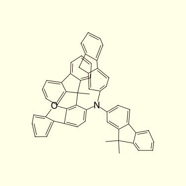 CC1(C)c2ccccc2-c2ccc(N(c3ccc4c(c3)Cc3ccccc3-4)c3ccc4c(oc5ccccc54)c3C3(C)c4ccccc4-c4ccccc43)cc21